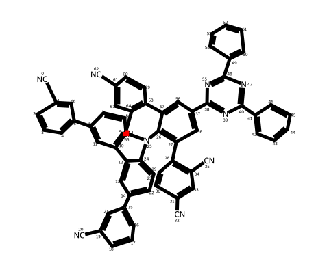 N#Cc1cccc(-c2ccc3c(c2)c2cc(-c4cccc(C#N)c4)ccc2n3-c2c(-c3ccc(C#N)cc3C#N)cc(-c3nc(-c4ccccc4)nc(-c4ccccc4)n3)cc2-c2ccc(C#N)cc2C#N)c1